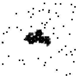 NC1(c2ccc(-c3nc4ccc5nnc(O)n5c4cc3-c3ccccc3)cc2)CC(F)(F)C1